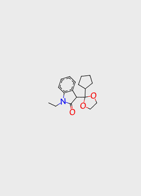 CCN1C(=O)C(C2(C3CCCC3)OCCO2)c2ccccc21